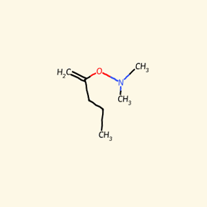 C=C(CCC)ON(C)C